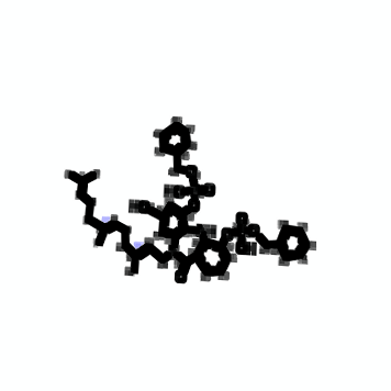 CC(C)=CCC/C(C)=C/CC/C(C)=C/CN1C(=O)c2cccc(OP(=O)(O)OCc3ccccc3)c2Nc2c(OP(=O)(O)OCc3ccccc3)cc(O)cc21